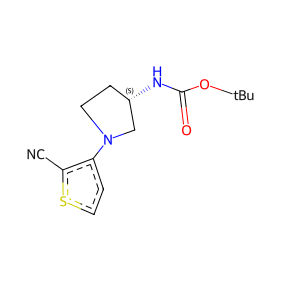 CC(C)(C)OC(=O)N[C@H]1CCN(c2ccsc2C#N)C1